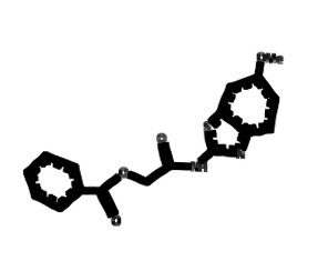 COc1ccc2nc(NC(=O)COC(=O)c3ccccc3)sc2c1